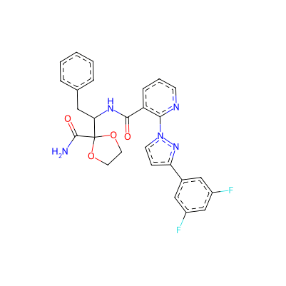 NC(=O)C1(C(Cc2ccccc2)NC(=O)c2cccnc2-n2ccc(-c3cc(F)cc(F)c3)n2)OCCO1